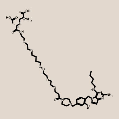 CCCCCNc1nc(N)nc2ccn(Cc3ccc(CN4CCN(C(=O)CCOCCOCCOOCCCCOCCOCCNC(=O)[C@H](CC(=O)O)SC[C@H](N)C(=O)O)CC4)cc3OC)c12